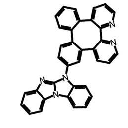 c1ccc2c(c1)-c1ccc(-n3c4ccccc4n4c5ccccc5nc34)cc1-c1cccnc1-c1ncccc1-2